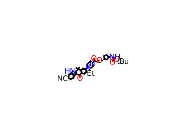 CCc1cc2c(cc1N1CCN(C(=O)COC[C@H]3CC[C@@H](NC(=O)OC(C)(C)C)C3)CC1)C(C)(C)c1[nH]c3cc(C#N)ccc3c1C2=O